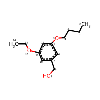 CCCCOc1cc(CO)cc(OCC)c1